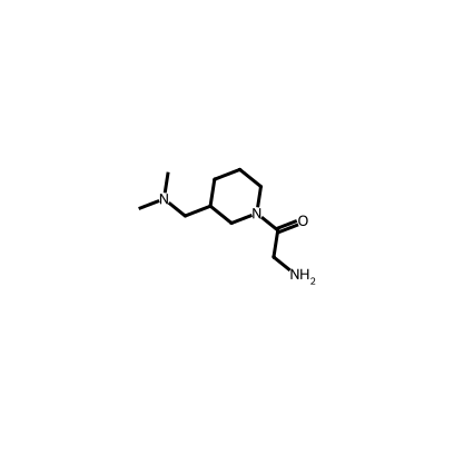 CN(C)CC1CCCN(C(=O)CN)C1